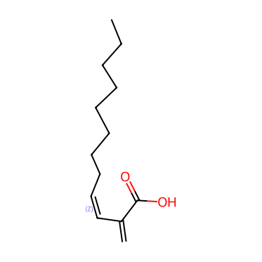 C=C(/C=C\CCCCCCCC)C(=O)O